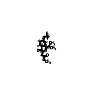 COC(=O)Cn1nc(C(C)C)c2cc(OC(F)F)ccc2c1=O